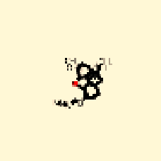 CO[C@@H]1CC[C@H]2[C@H]3Cc4ccc(OCN=[N+]=[N-])c5c4[C@@]2(CCN3C)[C@H]1O5